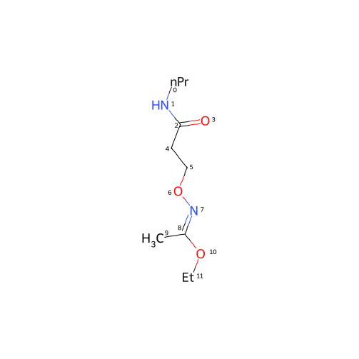 CCCNC(=O)CCO/N=C(\C)OCC